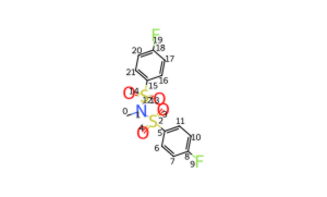 CN(S(=O)(=O)c1ccc(F)cc1)S(=O)(=O)c1ccc(F)cc1